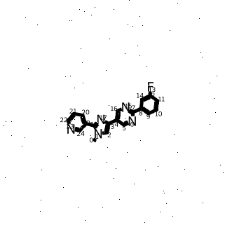 Cn1cc(-c2cnc(-c3cccc(F)c3)nc2)nc1-c1cccnc1